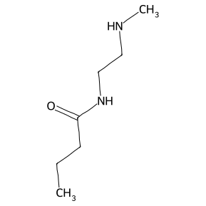 CCCC(=O)NCCNC